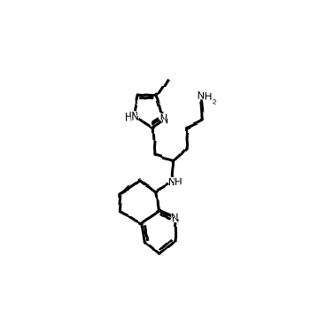 Cc1c[nH]c(CC(CCCN)NC2CCCc3cccnc32)n1